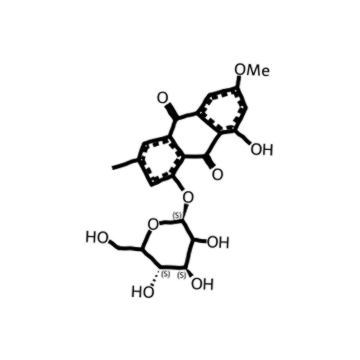 COc1cc(O)c2c(c1)C(=O)c1cc(C)cc(O[C@@H]3OC(CO)[C@@H](O)[C@H](O)C3O)c1C2=O